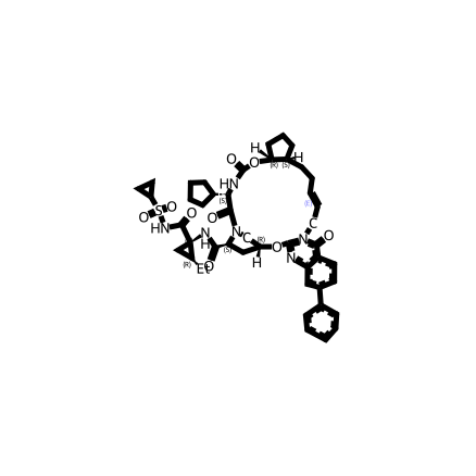 CC[C@@H]1C[C@]1(NC(=O)[C@@H]1C[C@@H]2CN1C(=O)[C@H](C1CCCC1)NC(=O)O[C@@H]1CCC[C@H]1CC/C=C/Cn1c(nc3cc(-c4ccccc4)ccc3c1=O)O2)C(=O)NS(=O)(=O)C1CC1